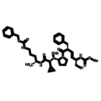 CC(C)C[C@@H](/C=C/[C@@H](Cc1ccccc1)C(=O)N1CCC[C@H]1N(C=O)[C@H](C(=O)N[C@@H](CCCNC(=O)OCc1ccccc1)C(=O)O)C1CC1)NC(=O)OC(C)(C)C